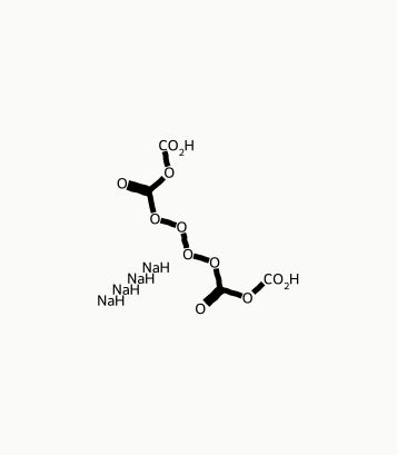 O=C(O)OC(=O)OOOOC(=O)OC(=O)O.[NaH].[NaH].[NaH].[NaH]